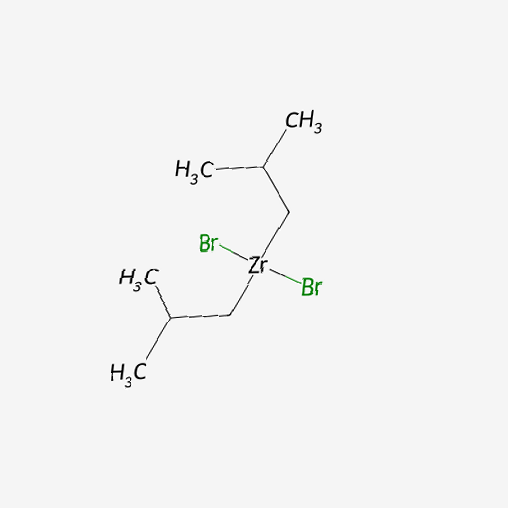 CC(C)[CH2][Zr]([Br])([Br])[CH2]C(C)C